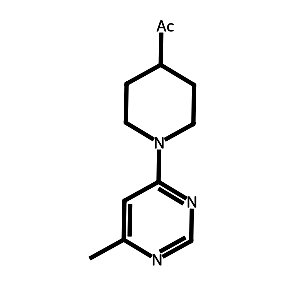 CC(=O)C1CCN(c2cc(C)ncn2)CC1